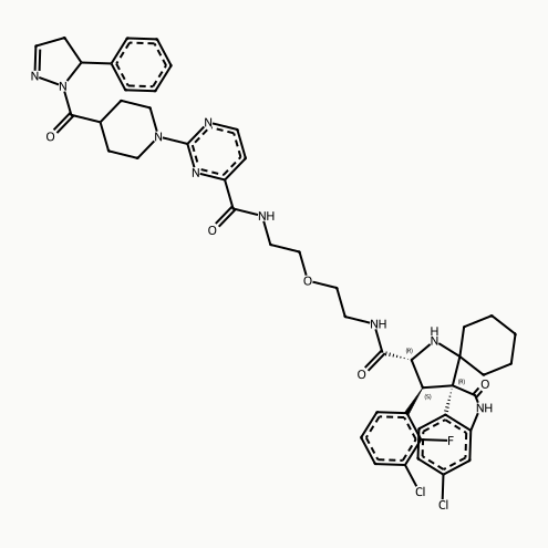 O=C(NCCOCCNC(=O)[C@@H]1NC2(CCCCC2)[C@@]2(C(=O)Nc3cc(Cl)ccc32)[C@H]1c1cccc(Cl)c1F)c1ccnc(N2CCC(C(=O)N3N=CCC3c3ccccc3)CC2)n1